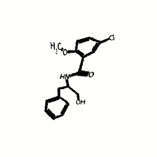 COc1ccc(Cl)cc1C(=O)NC(CO)Cc1ccccc1